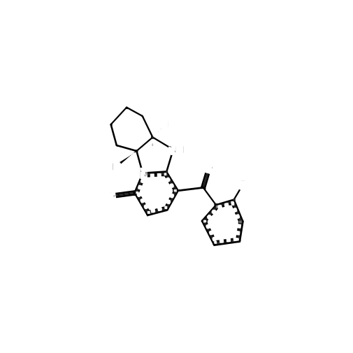 O=C(c1ccccc1F)c1ccc(=O)n2c1N[C@@H]1CCCC[C@H]12